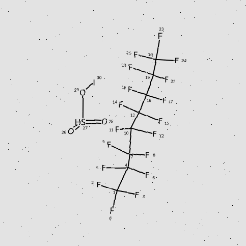 FC(F)(F)C(F)(F)C(F)(F)C(F)(F)C(F)(F)C(F)(F)C(F)(F)C(F)(F)F.O=[SH](=O)OI